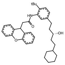 CC(C)(C)c1ccc(CC[C@H](O)CCC2CCCCC2)cc1NC(=O)CC1c2ccccc2Oc2ccccc21